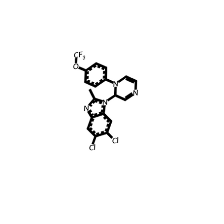 Cc1nc2cc(Cl)c(Cl)cc2n1C1C=NC=CN1c1ccc(OC(F)(F)F)cc1